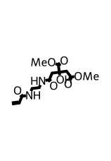 C=CC(=O)NCCNC(=O)CC(O)(CC(=O)OC)C(=O)OC